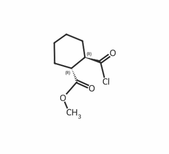 COC(=O)[C@@H]1CCCC[C@H]1C(=O)Cl